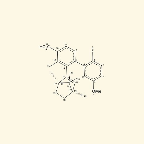 COc1ccc(F)c(-c2ccc(C(=O)O)c(C)c2C2=C[C@H]3CC[C@]2(C)C3(C)C)c1